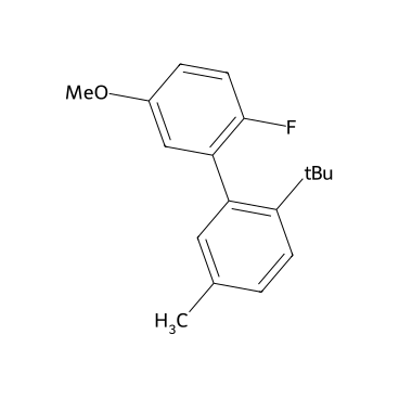 COc1ccc(F)c(-c2cc(C)ccc2C(C)(C)C)c1